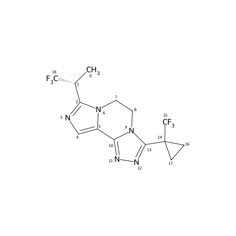 C[C@H](c1ncc2n1CCn1c-2nnc1C1(C(F)(F)F)CC1)C(F)(F)F